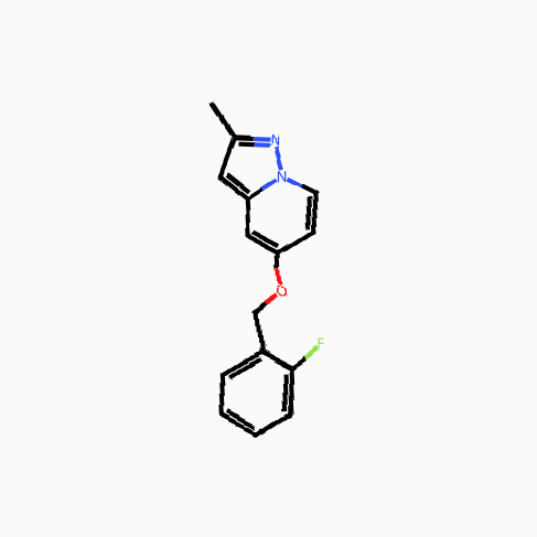 Cc1cc2cc(OCc3ccccc3F)ccn2n1